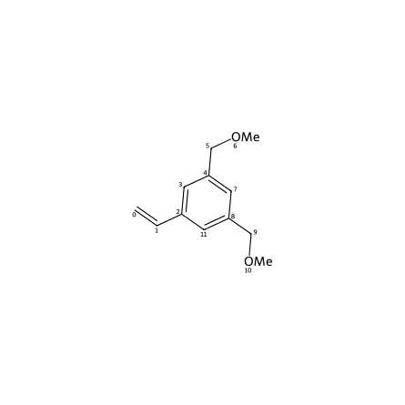 C=Cc1cc(COC)cc(COC)c1